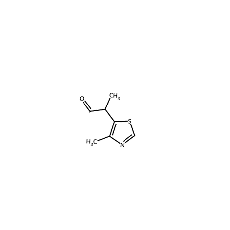 Cc1ncsc1C(C)[C]=O